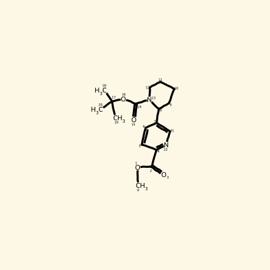 COC(=O)c1ccc(C2CCCCN2C(=O)OC(C)(C)C)cn1